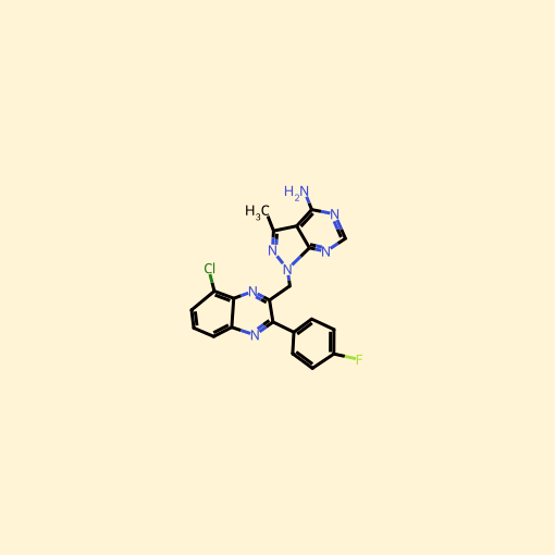 Cc1nn(Cc2nc3c(Cl)cccc3nc2-c2ccc(F)cc2)c2ncnc(N)c12